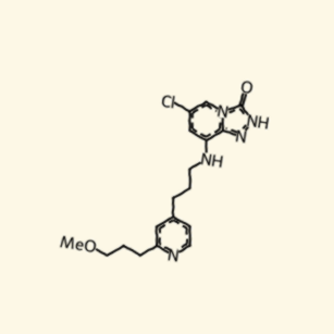 COCCCc1cc(CCCNc2cc(Cl)cn3c(=O)[nH]nc23)ccn1